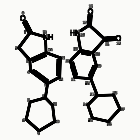 O=C1Cc2cc(C3CCCCC3)ccc2N1.O=C1Nc2ccc(C3CCCCC3)cc2C1=O